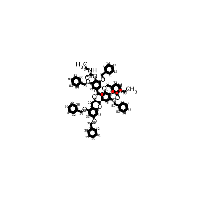 CCNC(=O)Oc1c(OCc2ccccc2)cc(C(=O)O[C@@H]2Cc3c(OCc4ccccc4)cc(OCc4ccccc4)cc3O[C@@H]2c2cc(OCc3ccccc3)c(OC(=O)NCC)c(OCc3ccccc3)c2)cc1OCc1ccccc1